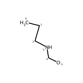 CCCNC[O]